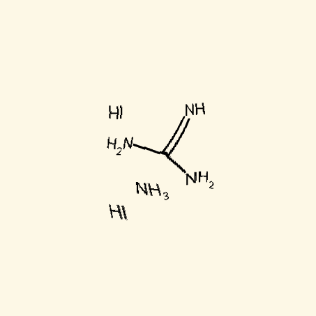 I.I.N.N=C(N)N